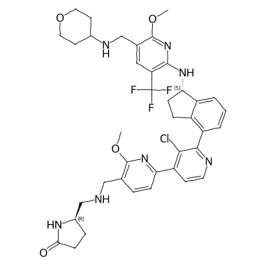 COc1nc(-c2ccnc(-c3cccc4c3CC[C@@H]4Nc3nc(OC)c(CNC4CCOCC4)cc3C(F)(F)F)c2Cl)ccc1CNC[C@H]1CCC(=O)N1